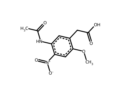 COc1cc([N+](=O)[O-])c(NC(C)=O)cc1CC(=O)O